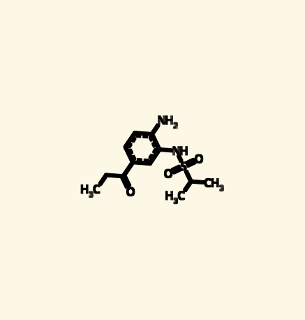 CCC(=O)c1ccc(N)c(NS(=O)(=O)C(C)C)c1